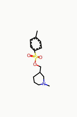 Cc1ccc(S(=O)(=O)OCC2CCCN(C)C2)cc1